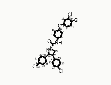 O=C(Nc1ccc(Oc2ccc(Cl)c(Cl)c2)cc1)N1CC(c2ccc(Cl)cc2)C(c2ccc(Cl)cc2)=N1